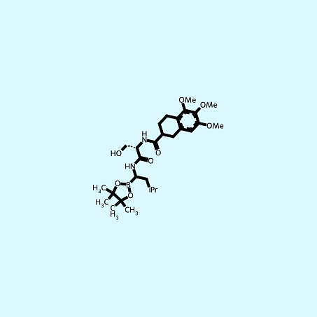 COc1cc2c(c(OC)c1OC)CCC(C(=O)N[C@@H](CO)C(=O)NC(CC(C)C)B1OC(C)(C)C(C)(C)O1)C2